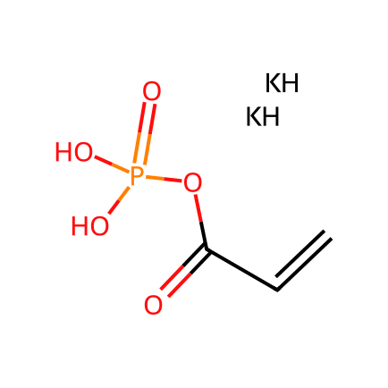 C=CC(=O)OP(=O)(O)O.[KH].[KH]